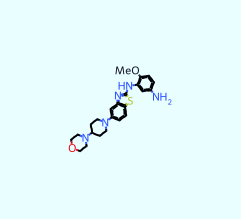 COc1ccc(N)cc1Nc1nc2cc(N3CCC(N4CCOCC4)CC3)ccc2s1